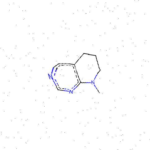 CN1CCCc2cncnc21